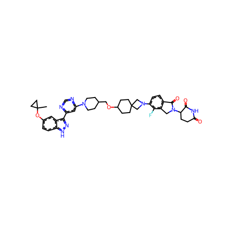 CC1(Oc2ccc3[nH]nc(-c4cc(N5CCC(COC6CCC7(CC6)CN(c6ccc8c(c6F)CN(C6CCC(=O)NC6=O)C8=O)C7)CC5)ncn4)c3c2)CC1